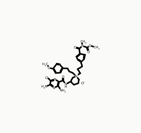 COC(=O)N(C)C(=O)c1ccc(CCC[N+]2(CCCc3ccc(OC)cc3)CCCC(NC(=O)c3nc(Cl)c(N)nc3N)C2)cc1.[Cl-]